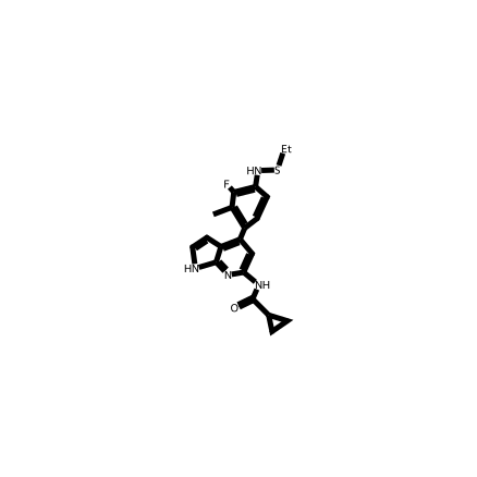 CCSNc1ccc(-c2cc(NC(=O)C3CC3)nc3[nH]ccc23)c(C)c1F